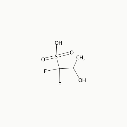 CC(O)C(F)(F)S(=O)(=O)O